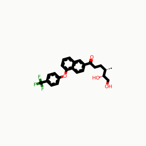 C[C@@H](CCC(=O)c1ccc2c(Oc3ccc(C(F)(F)F)cc3)cccc2c1)[C@@H](O)CO